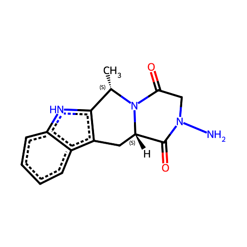 C[C@H]1c2[nH]c3ccccc3c2C[C@H]2C(=O)N(N)CC(=O)N21